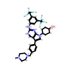 CN1CCN(Cc2ccc(-c3cn(C4CCC(O)CC4)c4nc(Nc5cc(C(F)(F)F)cc(C(F)(F)F)c5)ncc34)cc2)CC1